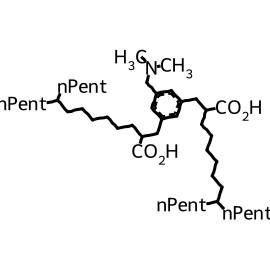 CCCCCC(CCCCC)CCCCCCC(Cc1cc(CC(CCCCCCC(CCCCC)CCCCC)C(=O)O)cc(CN(C)C)c1)C(=O)O